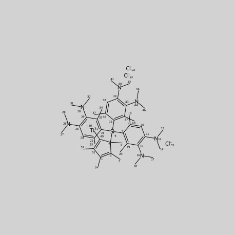 CC1=C(C)C(C)([Si](c2c(C)cc(N(C)C)c(N(C)C)c2C)(c2c(C)cc(N(C)C)c(N(C)C)c2C)c2c(C)cc(N(C)C)c(N(C)C)c2C)[C]([Ti+3])=C1C.[Cl-].[Cl-].[Cl-]